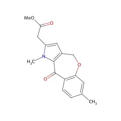 COC(=O)Cc1cc2c(n1C)C(=O)c1ccc(C)cc1OC2